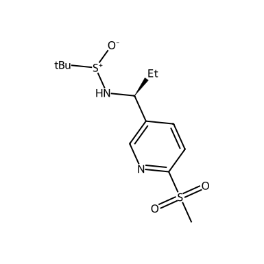 CC[C@H](N[S+]([O-])C(C)(C)C)c1ccc(S(C)(=O)=O)nc1